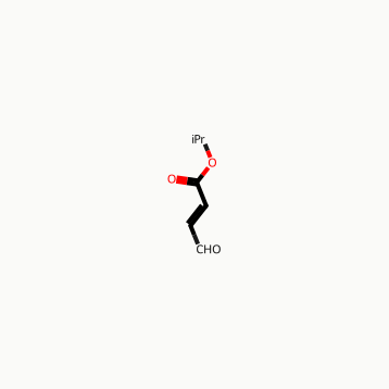 CC(C)OC(=O)C=CC=O